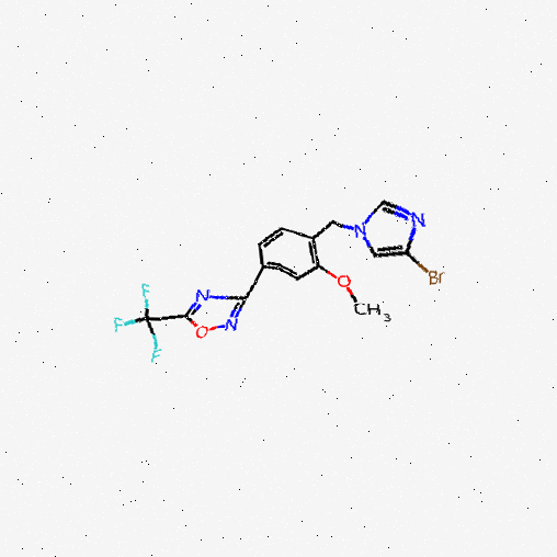 COc1cc(-c2noc(C(F)(F)F)n2)ccc1Cn1cnc(Br)c1